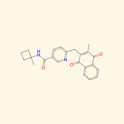 CC1=C(Cc2ccc(C(=O)NC3(C)CCC3)cn2)C(=O)c2ccccc2C1=O